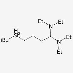 CCC(C)[SiH2]CCCC(N(CC)CC)N(CC)CC